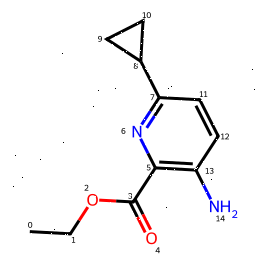 CCOC(=O)c1nc(C2CC2)ccc1N